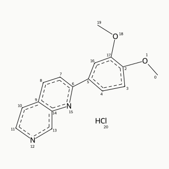 COc1ccc(-c2ccc3ccncc3n2)cc1OC.Cl